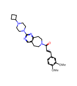 COc1ccc(/C=C/C(=O)N2CCc3cnc(N4CCN(C5CCC5)CC4)nc3CC2)cc1OC